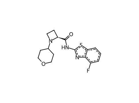 O=C(Nc1nc2c(F)cccc2s1)[C@@H]1CCN1C1CCOCC1